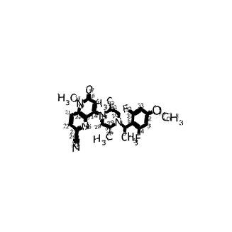 COc1cc(F)c(C(C)N2C[C@H](C)N(c3cc(=O)n(C)c4ccc(C#N)nc34)C[C@H]2C)c(F)c1